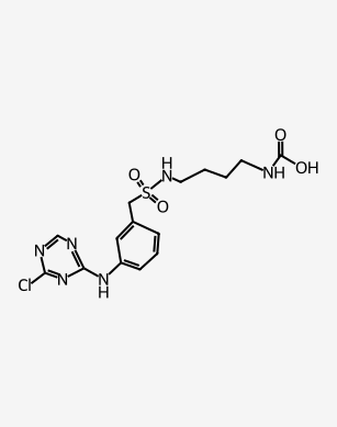 O=C(O)NCCCCNS(=O)(=O)Cc1cccc(Nc2ncnc(Cl)n2)c1